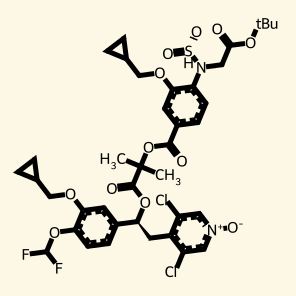 CC(C)(C)OC(=O)CN(c1ccc(C(=O)OC(C)(C)C(=O)O[C@@H](Cc2c(Cl)c[n+]([O-])cc2Cl)c2ccc(OC(F)F)c(OCC3CC3)c2)cc1OCC1CC1)[SH](=O)=O